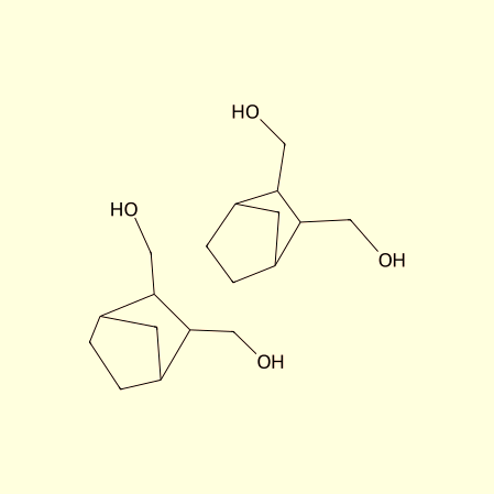 OCC1C2CCC(C2)C1CO.OCC1C2CCC(C2)C1CO